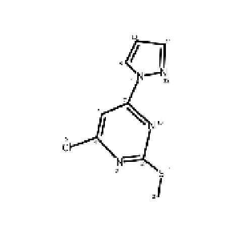 CSc1nc(Cl)cc(-n2cccn2)n1